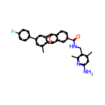 Cc1cc(N)nc(C)c1CNC(=O)c1ccc2c(c1)c1oc2c2cc(-c3ccc(F)cc3)cc(C)c21